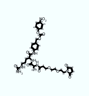 CC(C)C(NC(=O)CCOCCOCCN1C(=O)C=CC1=O)C(=O)NC(CCCNC(N)=O)C(=O)Nc1ccc(COC(=O)Oc2ccc([N+](=O)[O-])cc2)cc1